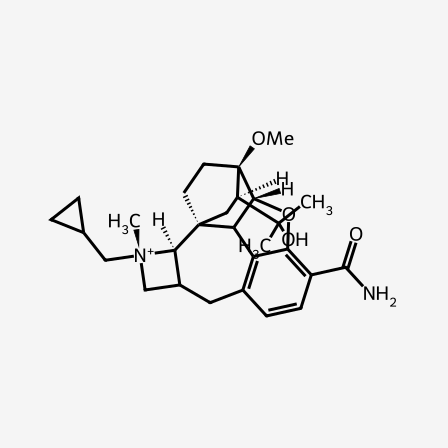 CO[C@]12CC[C@]3(C[C@@H]1C(C)(C)O)C1c4c(ccc(C(N)=O)c4O[C@H]12)CC1C[N@+](C)(CC2CC2)[C@H]13